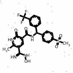 Cc1[nH]c(=O)c(C(=O)NC(c2ccc(S(C)(=O)=O)cc2)c2cccc(C(F)(F)F)c2)cc1C(=N)NO